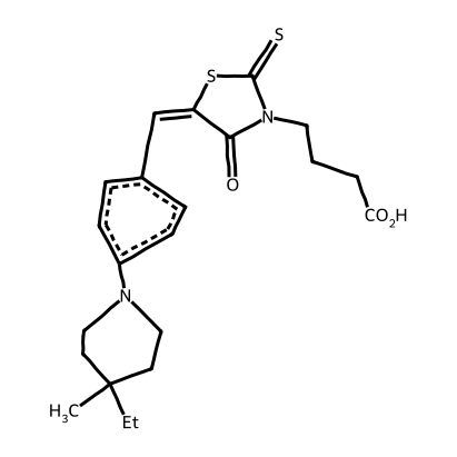 CCC1(C)CCN(c2ccc(C=C3SC(=S)N(CCCC(=O)O)C3=O)cc2)CC1